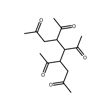 CC(=O)CC(C(C)=O)C(C(C)=O)C(CC(C)=O)C(C)=O